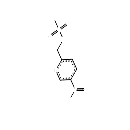 CS(=O)(=O)OCc1ccc([N+](=O)[O-])cn1